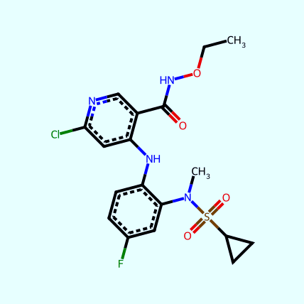 CCONC(=O)c1cnc(Cl)cc1Nc1ccc(F)cc1N(C)S(=O)(=O)C1CC1